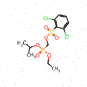 CCOP(=O)(COS(=O)(=O)c1c(Cl)cccc1Cl)OC(C)C